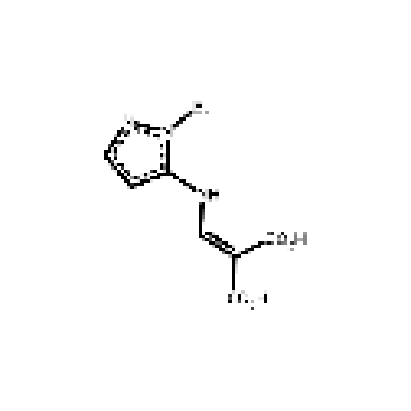 CCn1nccc1NC=C(C(=O)O)C(=O)O